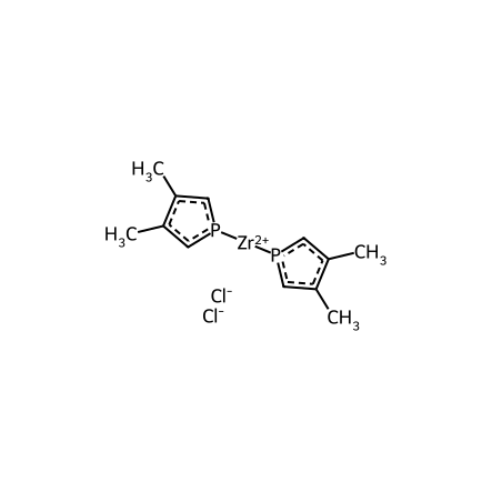 Cc1c[p]([Zr+2][p]2cc(C)c(C)c2)cc1C.[Cl-].[Cl-]